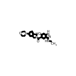 CCNc1n[nH]c2cc(O)c(C(=O)N3Cc4ccc(N5CCOCC5)cc4C3)cc12